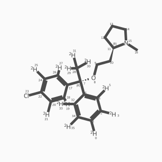 [2H]c1c([2H])c([2H])c([C@@](OCC[C@H]2CCCN2C)(c2c([2H])c([2H])c(Cl)c([2H])c2[2H])C([2H])([2H])[2H])c([2H])c1[2H]